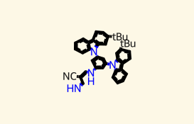 CC(C)(C)c1ccc2c3ccccc3n(-c3cc(N/C=C(/C#N)C=N)cc(-n4c5ccccc5c5ccc(C(C)(C)C)cc54)c3)c2c1